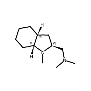 CN(C)C[C@@H]1C[C@H]2CCCC[C@H]2N1C